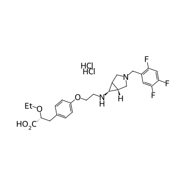 CCO[C@H](Cc1ccc(OCCN[C@H]2C3CN(Cc4cc(F)c(F)cc4F)C[C@@H]32)cc1)C(=O)O.Cl.Cl